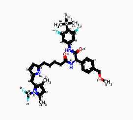 COCc1ccc([C@@H](NC(=O)CCCCC2=N/C(=C\c3c(C)cc(C)n3B(F)F)C=C2)C(=O)Nc2cc(F)c([Si](C)(C)C)c(F)c2)cc1